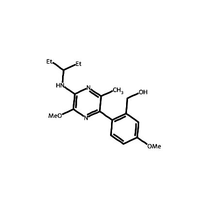 CCC(CC)Nc1nc(C)c(-c2ccc(OC)cc2CO)nc1OC